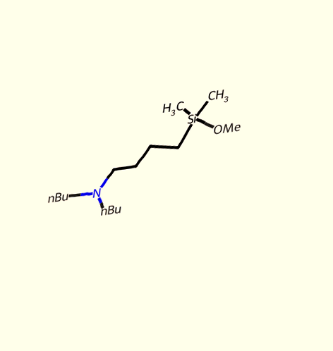 CCCCN(CCCC)CCCC[Si](C)(C)OC